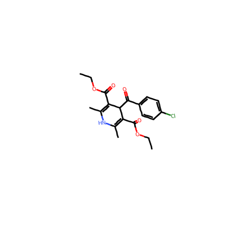 CCOC(=O)C1=C(C)NC(C)=C(C(=O)OCC)C1C(=O)c1ccc(Cl)cc1